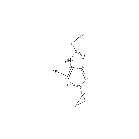 O=C(CI)Nc1ccc(C2CC2)cc1F